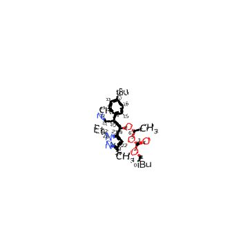 CCC(C)COC(=O)OC(C)O/C(=C(/C=N\C)c1ccc(C(C)(C)C)cc1)c1cc(C)nn1CC